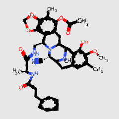 COc1c(C)cc2c(c1O)C1C3Cc4c(OC(C)=O)c(C)c5c(c4[C@H](CNC(=O)[C@H](C)NC(=O)CCc4ccccc4)N3[C@@H](C#N)C(C2)N1C)OCO5